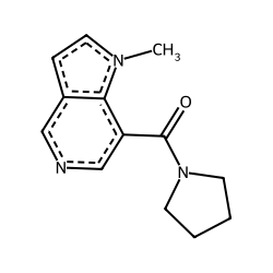 Cn1ccc2cncc(C(=O)N3CCCC3)c21